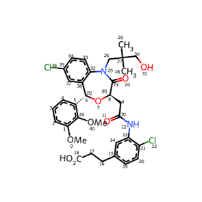 COc1cccc([C@H]2O[C@H](CC(=O)Nc3cc(CCC(=O)O)ccc3Cl)C(=O)N(CC(C)(C)CO)c3ccc(Cl)cc32)c1OC